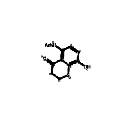 CC(=O)Nc1ccc(O)c2c1C(=O)CCS2